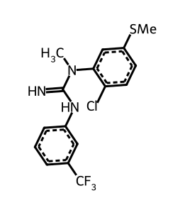 CSc1ccc(Cl)c(N(C)C(=N)Nc2cccc(C(F)(F)F)c2)c1